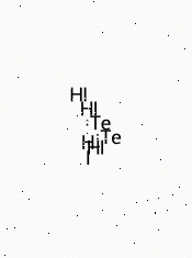 I.I.I.I.[Te].[Te]